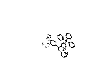 CCOc1ccc(C(Cc2cccnn2)c2cn(C(c3ccccc3)(c3ccccc3)c3ccccc3)cn2)cc1C(F)(F)F